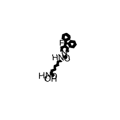 O=C(CCCCCCNC(=O)N1CCC(C(F)(c2ccccc2)c2ccccc2)CC1)NO